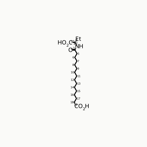 CC[C@H](NC(=O)CCCCCCCCCCCCCCC(=O)O)C(=O)O